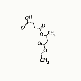 CCOC(=O)CC(C)OC(=O)CCC(=O)O